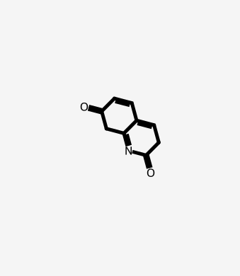 O=C1C=CC2=CCC(=O)N=C2C1